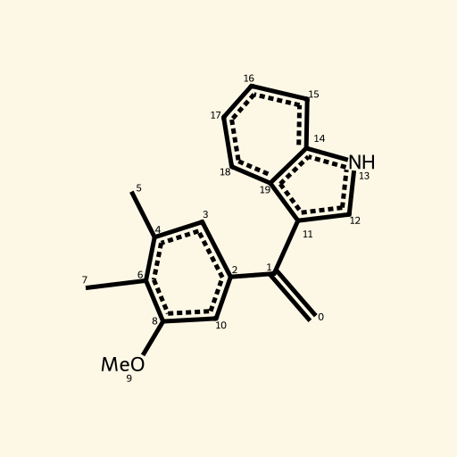 C=C(c1cc(C)c(C)c(OC)c1)c1c[nH]c2ccccc12